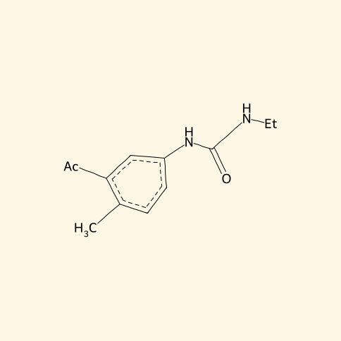 CCNC(=O)Nc1ccc(C)c(C(C)=O)c1